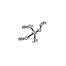 CCCO[Si](CC)(OC)OC